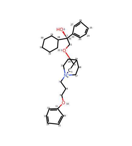 O[C@](COC1C[N+]2(CCCOc3ccccc3)CCC1CC2)(c1ccccc1)C1CCCCC1